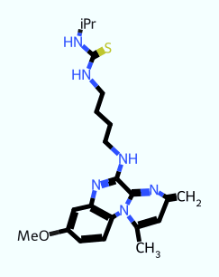 C=C1C=C(C)N2C(=N1)C(NCCCCNC(=S)NC(C)C)=Nc1cc(OC)ccc12